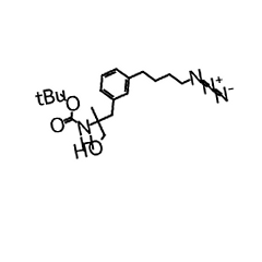 CC(CO)(Cc1cccc(CCCCN=[N+]=[N-])c1)NC(=O)OC(C)(C)C